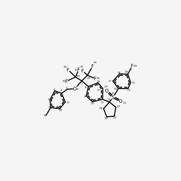 Cc1ccc(COC(c2ccc(C3(S(=O)(=O)c4ccc(F)cc4)CCCC3)cc2)(C(F)(F)F)C(F)(F)F)cc1